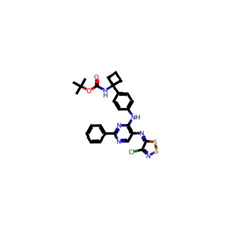 CC(C)(C)OC(=O)NC1(c2ccc(Nc3nc(-c4ccccc4)ncc3N=c3ssnc3Cl)cc2)CCC1